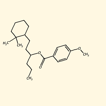 CCCC(CCC1CCCCC1(C)C)OC(=O)c1ccc(OC)cc1